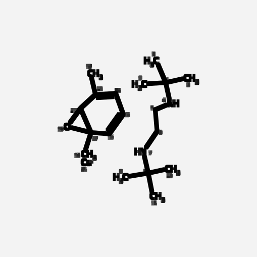 CC(C)(C)NCCNC(C)(C)C.CC1=CC=CC2(C)OC12.[Cu]